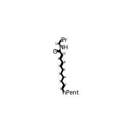 CCCCCC=CCCCCC=CC=CC(=O)NCC(C)C